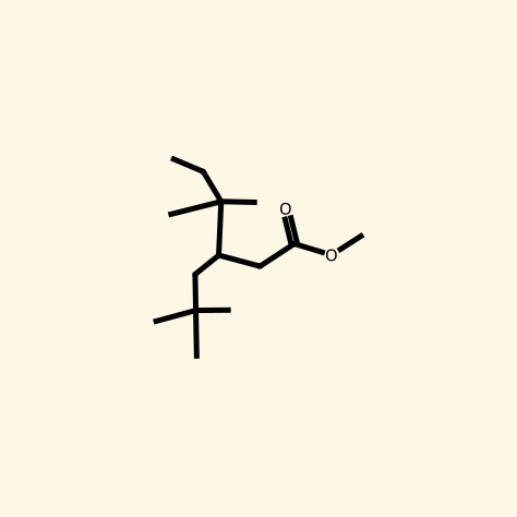 CCC(C)(C)C(CC(=O)OC)CC(C)(C)C